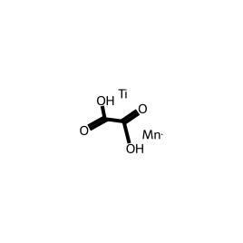 O=C(O)C(=O)O.[Mn].[Ti]